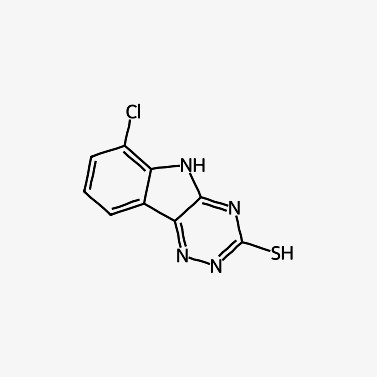 Sc1nnc2c(n1)[nH]c1c(Cl)cccc12